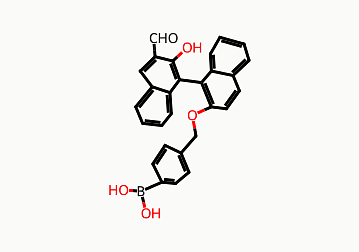 O=Cc1cc2ccccc2c(-c2c(OCc3ccc(B(O)O)cc3)ccc3ccccc23)c1O